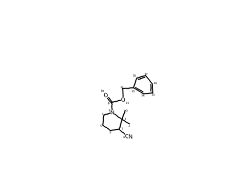 CC1(C)C(C#N)CCCN1C(=O)OCc1ccccc1